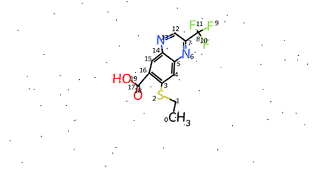 CCSc1cc2nc(C(F)(F)F)cnc2cc1C(=O)O